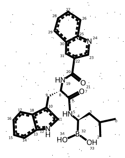 CC(C)C[C@H](NC(=O)[C@H](Cc1c[nH]c2ccccc12)NC(=O)c1cnc2ccccc2c1)B(O)O